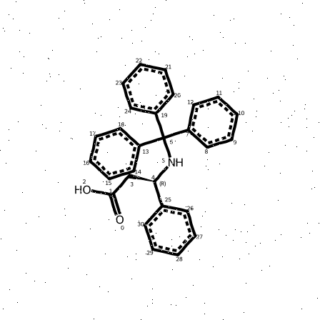 O=C(O)C[C@@H](NC(c1ccccc1)(c1ccccc1)c1ccccc1)c1ccccc1